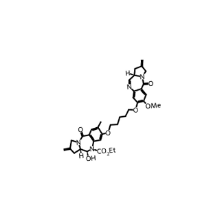 C=C1C[C@H]2C=Nc3cc(OCCCCCOc4cc5c(cc4C)C(=O)N4CC(=C)C[C@H]4[C@H](O)N5C(=O)OCC)c(OC)cc3C(=O)N2C1